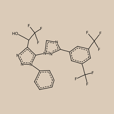 OC(c1nnn(-c2ccccc2)c1-n1cnc(-c2cc(C(F)(F)F)cc(C(F)(F)F)c2)n1)C(F)(F)F